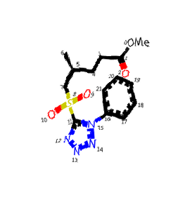 COC(=O)CC[C@H](C)CS(=O)(=O)c1nnnn1-c1ccccc1